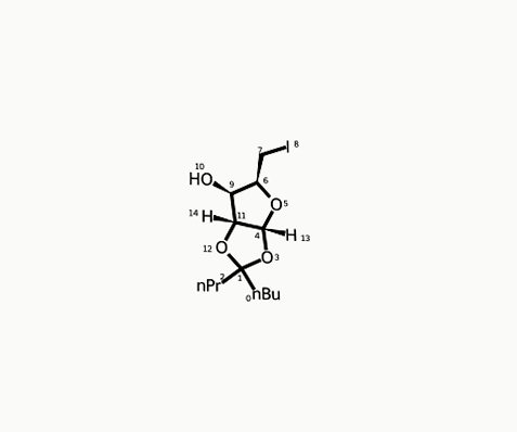 CCCCC1(CCC)O[C@H]2O[C@H](CI)[C@H](O)[C@H]2O1